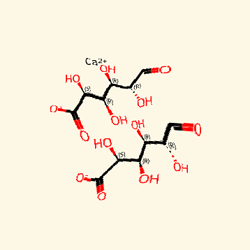 O=C[C@H](O)[C@H](O)[C@@H](O)[C@H](O)C(=O)[O-].O=C[C@H](O)[C@H](O)[C@@H](O)[C@H](O)C(=O)[O-].[Ca+2]